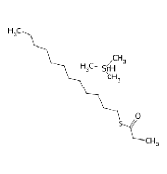 CCCCCCCCCCCCSC(=O)CC.[CH3][SnH]([CH3])[CH3]